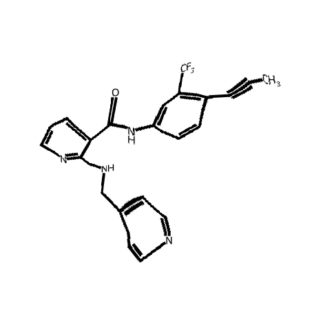 CC#Cc1ccc(NC(=O)c2cccnc2NCc2ccncc2)cc1C(F)(F)F